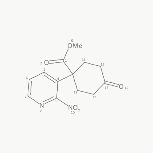 COC(=O)C1(c2cccnc2[N+](=O)[O-])CCC(=O)CC1